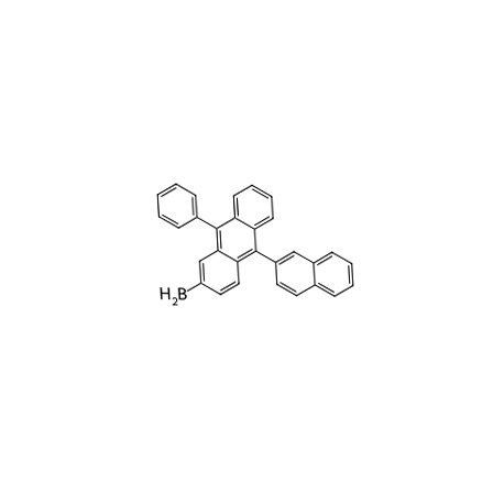 Bc1ccc2c(-c3ccc4ccccc4c3)c3ccccc3c(-c3ccccc3)c2c1